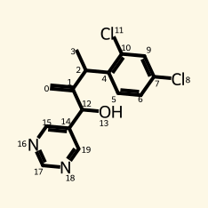 C=C(C(C)c1ccc(Cl)cc1Cl)C(O)c1cncnc1